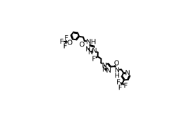 O=C(Cc1cccc(OC(F)(F)F)c1)Nc1cn(CC(F)CCn2cc(C(=O)NCc3cc(C(F)(F)F)ccn3)nn2)nn1